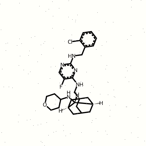 Fc1cnc(NCc2ccccc2Cl)nc1NC[C@]12CC3C[C@H](C1)[C@@H](NC1CCOCC1)[C@@H](C3)C2